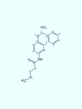 COCCC(=O)Nc1ccc(O[C@H](C)c2ccccc2)cc1